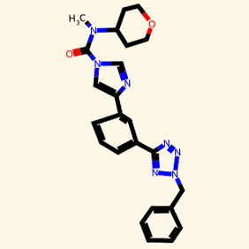 CN(C(=O)n1cnc(-c2cccc(-c3nnn(Cc4ccccc4)n3)c2)c1)C1CCOCC1